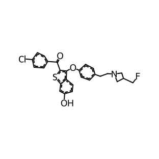 O=C(c1ccc(Cl)cc1)c1sc2cc(O)ccc2c1Oc1ccc(CCN2CC(CF)C2)cc1